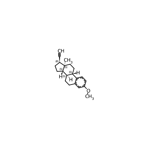 C#C[C@@H]1CC[C@H]2[C@@H]3CCc4cc(OC)ccc4[C@H]3CC[C@]12C